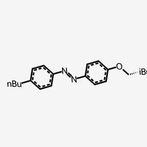 CCCCc1ccc(/N=N/c2ccc(OC[C@@H](C)CC)cc2)cc1